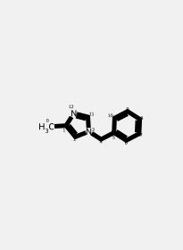 Cc1cn(Cc2ccccc2)cn1